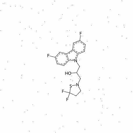 OC(CN1CCC(F)(F)S1)Cn1c2ccc(F)cc2c2cc(F)ccc21